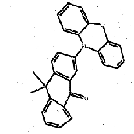 CC1(C)c2ccccc2C(=O)c2cc(N3c4ccccc4Oc4ccccc43)ccc21